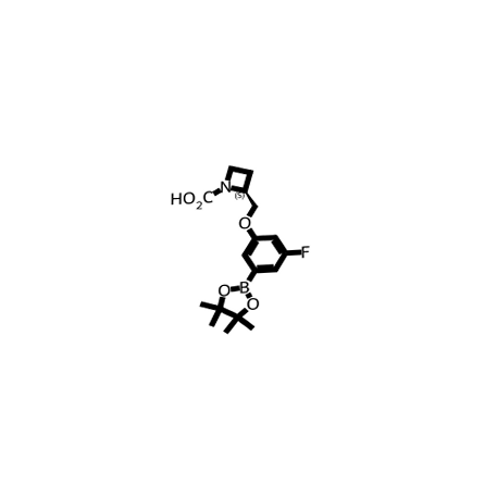 CC1(C)OB(c2cc(F)cc(OC[C@@H]3CCN3C(=O)O)c2)OC1(C)C